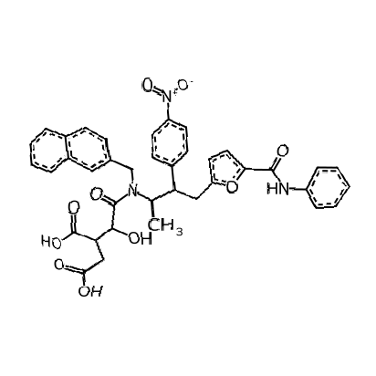 CC(C(Cc1ccc(C(=O)Nc2ccccc2)o1)c1ccc([N+](=O)[O-])cc1)N(Cc1ccc2ccccc2c1)C(=O)C(O)C(CC(=O)O)C(=O)O